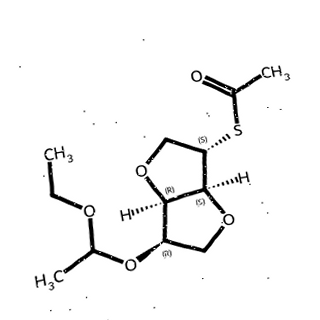 CCOC(C)O[C@@H]1CO[C@H]2[C@@H]1OC[C@@H]2SC(C)=O